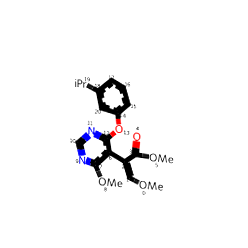 COC=C(C(=O)OC)c1c(OC)ncnc1Oc1cccc(C(C)C)c1